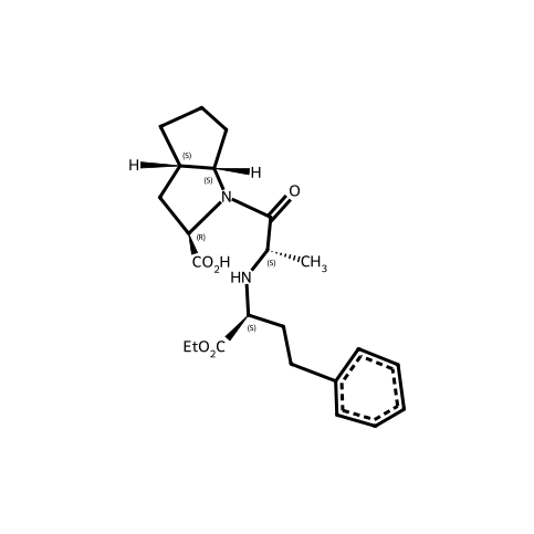 CCOC(=O)[C@H](CCc1ccccc1)N[C@@H](C)C(=O)N1[C@@H](C(=O)O)C[C@@H]2CCC[C@@H]21